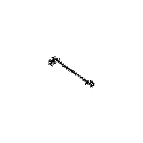 CC(C)C(=O)C(C)NC(=O)C(NC(=O)CCOCCOCCOCCOCCOCCOCCOCCOCCNC(=O)CCN1C(=O)C=CC1=O)C(C)C